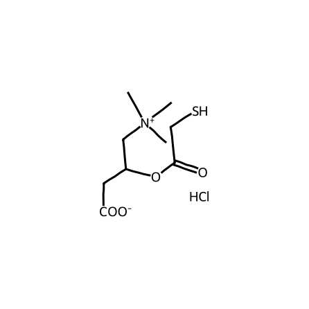 C[N+](C)(C)CC(CC(=O)[O-])OC(=O)CS.Cl